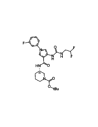 CC(C)(C)OC(=O)N1CCC[C@H](NC(=O)c2cn(-c3cccc(F)c3)cc2NC(=O)NCC(F)F)C1